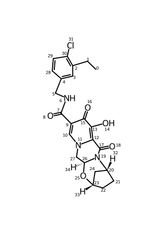 CCc1cc(CNC(=O)c2cn3c(c(O)c2=O)C(=O)N2[C@@H]4CC[C@@H](C4)O[C@H]2C3)ccc1Cl